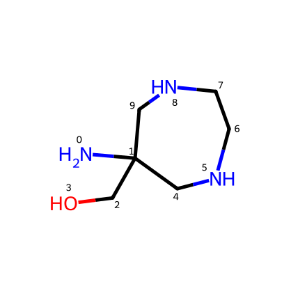 NC1(CO)CNCCNC1